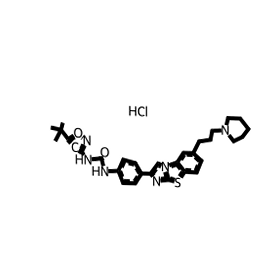 CC(C)(C)c1cc(NC(=O)Nc2ccc(-c3cn4c(n3)sc3ccc(CCCN5CCCCC5)cc34)cc2)no1.Cl